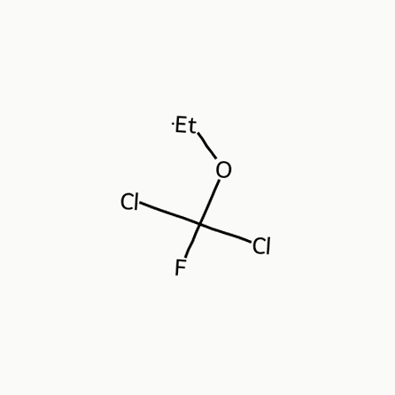 C[CH]OC(F)(Cl)Cl